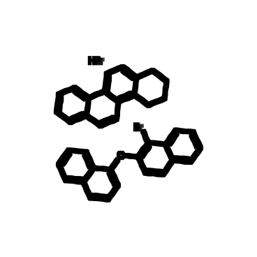 Br.Brc1c(Oc2cccc3ccccc23)ccc2ccccc12.c1ccc2c(c1)ccc1c3c(ccc12)CCCC3